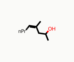 CCCC=C(C)CC(C)O